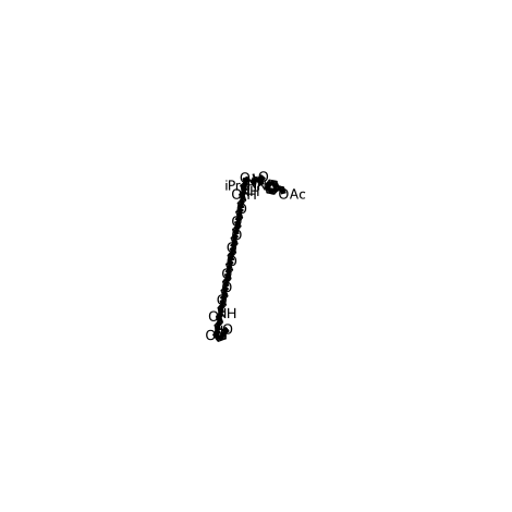 CC(=O)OCc1ccc(NC(=O)[C@H](C)NC(=O)[C@@H](NC(=O)CCOCCOCCOCCOCCOCCOCCOCCOCCNC(=O)CCN2C(=O)C=CC2=O)C(C)C)cc1